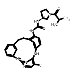 CC(C)C(=O)N1CC[C@H](NC(=O)Nc2ccc3cc2CCc2cccc(c2)Nc2ncc(Cl)c(n2)N3)C1